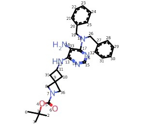 CC(C)(C)OC(=O)N1CC2(CC(Nc3ncnc(N(Cc4ccccc4)Cc4ccccc4)c3N)C2)C1